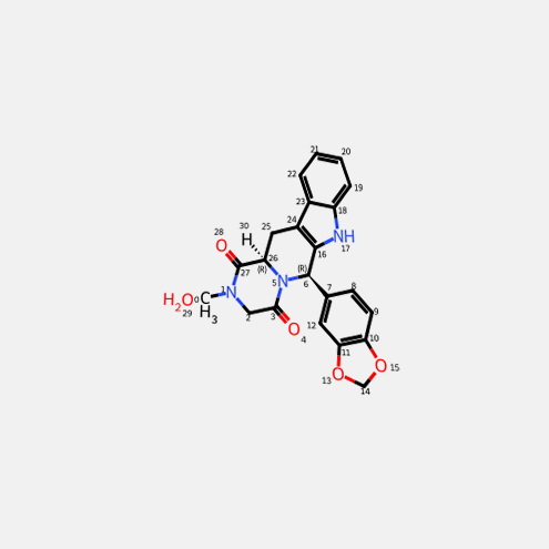 CN1CC(=O)N2[C@H](c3ccc4c(c3)OCO4)c3[nH]c4ccccc4c3C[C@@H]2C1=O.O